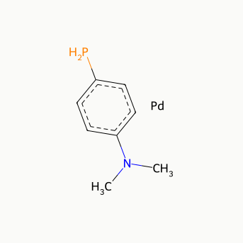 CN(C)c1ccc(P)cc1.[Pd]